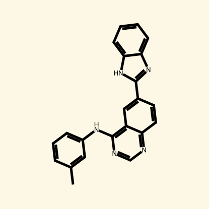 Cc1cccc(Nc2ncnc3ccc(-c4nc5ccccc5[nH]4)cc23)c1